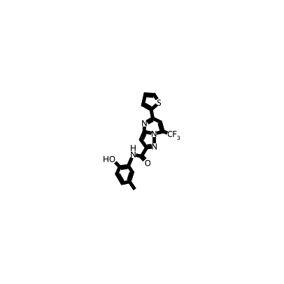 Cc1ccc(O)c(NC(=O)c2cc3nc(-c4cccs4)cc(C(F)(F)F)n3n2)c1